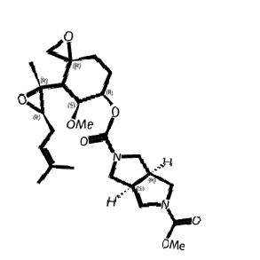 COC(=O)N1C[C@@H]2CN(C(=O)O[C@@H]3CC[C@]4(CO4)C([C@@]4(C)O[C@@H]4CC=C(C)C)[C@@H]3OC)C[C@@H]2C1